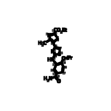 CCOC(=O)c1nc(C)c(-c2csc(Nc3cc(C(N)=O)ccc3OC(C)C)n2)s1